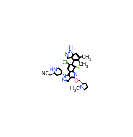 Cc1cc2[nH]ncc2c(-c2c(Cl)cc3c(nc(OC[C@@H]4CCCN4C)c4cnn([C@H]5CCN[C@H](CC#N)C5)c43)c2F)c1C